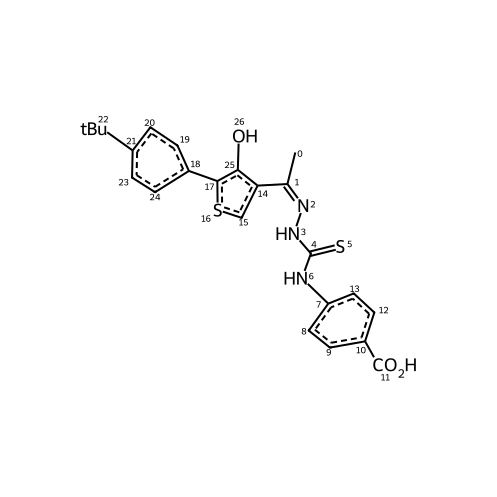 C/C(=N/NC(=S)Nc1ccc(C(=O)O)cc1)c1csc(-c2ccc(C(C)(C)C)cc2)c1O